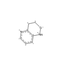 c1cnc2c(c1)NOCC2